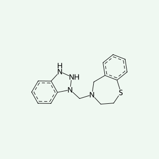 c1ccc2c(c1)CN(CN1NNc3ccccc31)CCS2